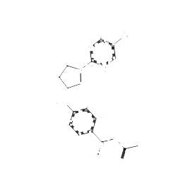 CC(=O)N[C@@H](C)c1ccc(O[C@@H]2CCN(c3ncc(O)cn3)C2)cc1